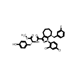 COC(=O)[C@@H](Cc1ccc(O)cc1)NC(=O)c1nn(-c2ccc(Cl)cc2Cl)c2c1CCCC[C@H]2Cc1cccc(F)c1